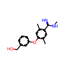 CNC(=N)c1cc(C)c(Oc2cccc(CO)c2)cc1C